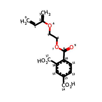 C=CC(=C)OCCOC(=O)c1ccc(C(=O)O)cc1C(=O)O